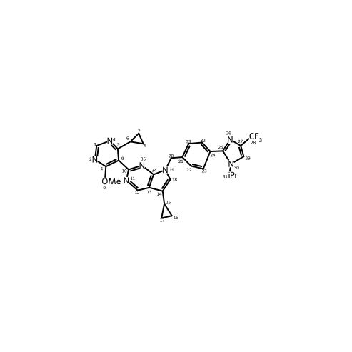 COc1ncnc(C2CC2)c1-c1ncc2c(C3CC3)cn(Cc3ccc(-c4nc(C(F)(F)F)cn4C(C)C)cc3)c2n1